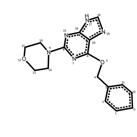 c1ccc(COc2nc(N3CCOCC3)nc3[nH]cnc23)cc1